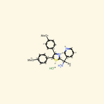 COc1ccc(-c2nc(C(N)(C(C)=O)c3cccnc3)sc2-c2ccc(OC)cc2)cc1.Cl